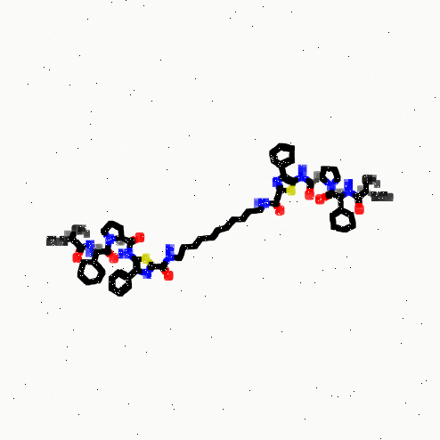 CN[C@@H](C)C(=O)N[C@H](C(=O)N1CCC[C@H]1C(=O)Nc1sc(C(=O)NCCCCCCCCCCCNC(=O)c2nc(-c3ccccc3)c(NC(=O)[C@@H]3CCCN3C(=O)[C@@H](NC(=O)[C@H](C)NC)C3CCCCC3)s2)nc1-c1ccccc1)C1CCCCC1